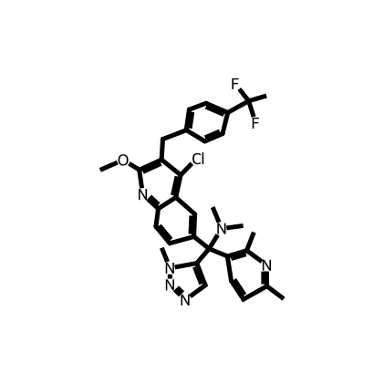 COc1nc2ccc(C(c3ccc(C)nc3C)(c3cnnn3C)N(C)C)cc2c(Cl)c1Cc1ccc(C(C)(F)F)cc1